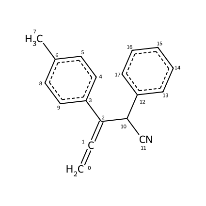 C=C=C(c1ccc(C)cc1)C(C#N)c1ccccc1